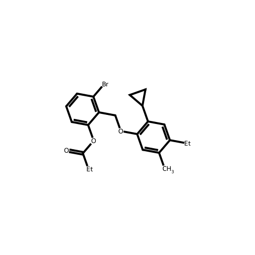 CCC(=O)Oc1cccc(Br)c1COc1cc(C)c(CC)cc1C1CC1